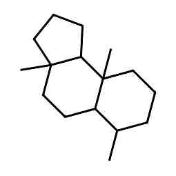 CC1CCCC2(C)C1CCC1(C)CCCC12